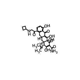 CN(C)[C@@H]1C(O)=C(C(N)=O)C(=O)[C@@]2(O)C(O)=C3C(=O)c4c(O)ccc(C(=O)CNC5CCC5)c4C[C@H]3C[C@@H]12